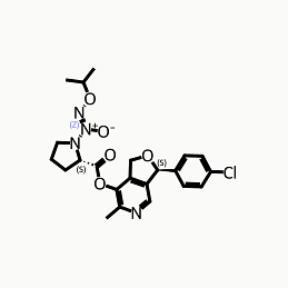 Cc1ncc2c(c1OC(=O)[C@@H]1CCCN1/[N+]([O-])=N/OC(C)C)CO[C@H]2c1ccc(Cl)cc1